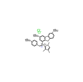 CC1=CC(C)[C](/[Zr+2](=[CH]/c2ccc(C(C)(C)C)cc2)[c]2cc(C(C)(C)C)cc3c2Cc2ccc(C(C)(C)C)cc2-3)=C1C.[Cl-].[Cl-]